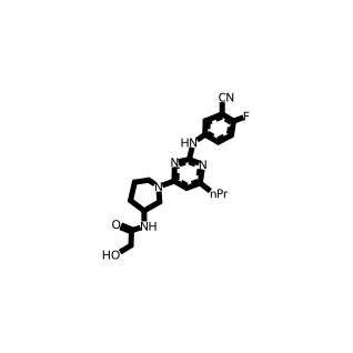 CCCc1cc(N2CCCC(NC(=O)CO)C2)nc(Nc2ccc(F)c(C#N)c2)n1